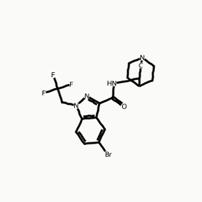 O=C(NC1CN2CCC1CC2)c1nn(CC(F)(F)F)c2ccc(Br)cc12